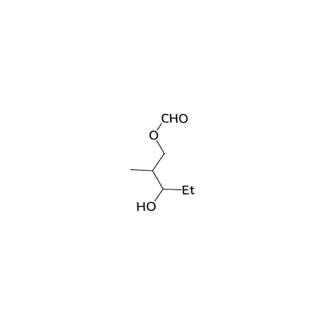 CCC(O)C(C)COC=O